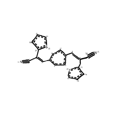 N#CC(=Cc1ccc(C=C(C#N)c2cccs2)cc1)c1cccs1